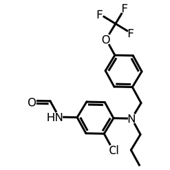 CCCN(Cc1ccc(OC(F)(F)F)cc1)c1ccc(NC=O)cc1Cl